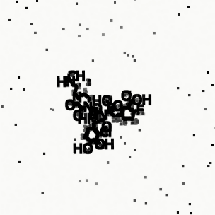 CNCCN1CCN(C(=O)NC(C(=O)NC2Cc3ccc(F)c(C(=O)O)c3OB2O)c2ccc(O)c(O)c2Cl)C(=O)C1=O